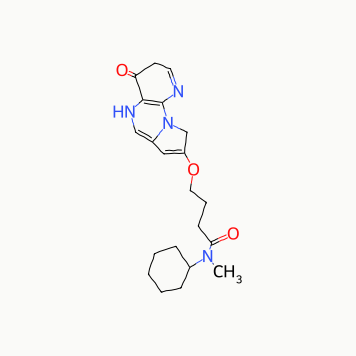 CN(C(=O)CCCOC1=CC2=CNC3=C(N=CCC3=O)N2C1)C1CCCCC1